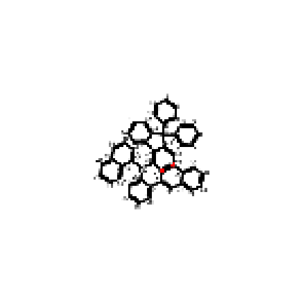 c1ccc(C2(c3ccccc3)c3ccccc3-c3c(N(c4ccccc4-c4ccc5ccccc5c4)c4cccc5ccccc45)cccc32)cc1